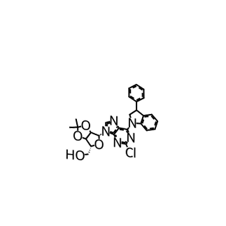 CC1(C)OC2C(O1)[C@@H](CO)O[C@H]2n1cnc2c(N3CC(c4ccccc4)c4ccccc43)nc(Cl)nc21